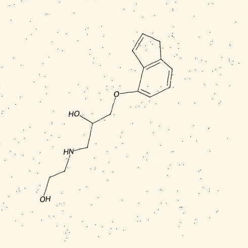 OCCNCC(O)COc1cccc2c1C=CC2